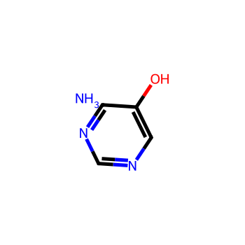 N.Oc1cncnc1